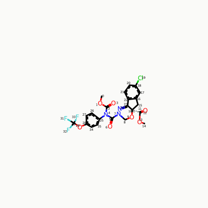 COC(=O)N(C(=O)N1CO[C@]2(C(=O)OC)Cc3cc(Cl)ccc3C2=N1)c1ccc(OC(F)(F)F)cc1